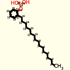 CCCCCCCCCCCCCCCCCc1ccccc1OP(O)O